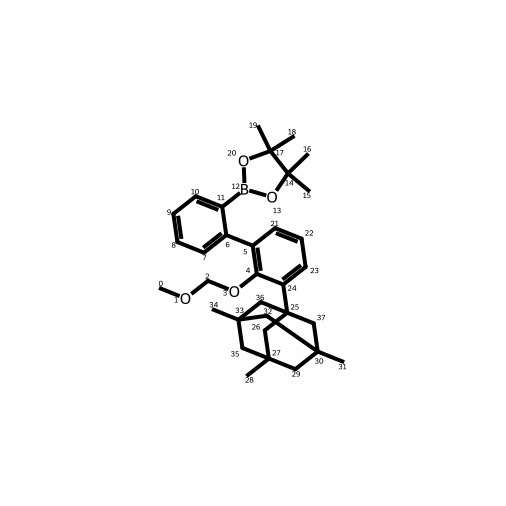 COCOc1c(-c2ccccc2B2OC(C)(C)C(C)(C)O2)cccc1C12CC3(C)CC(C)(CC(C)(C3)C1)C2